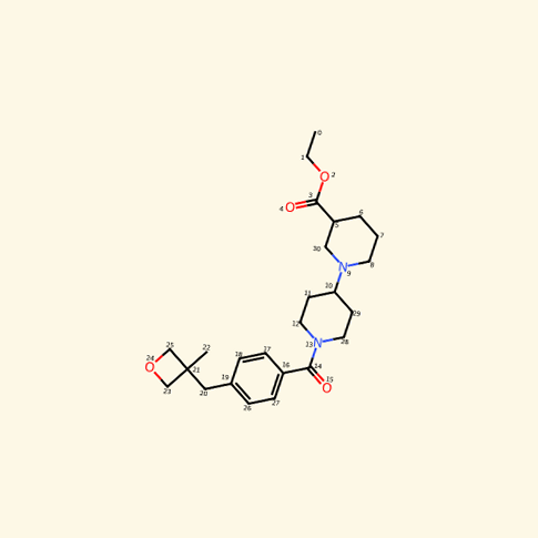 CCOC(=O)C1CCCN(C2CCN(C(=O)c3ccc(CC4(C)COC4)cc3)CC2)C1